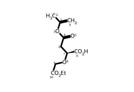 C=C(C)OC(=O)C[C@H](OCC(=O)OCC)C(=O)O